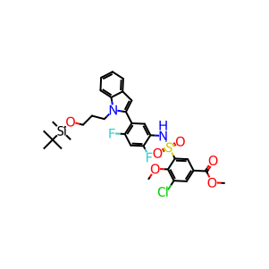 COC(=O)c1cc(Cl)c(OC)c(S(=O)(=O)Nc2cc(-c3cc4ccccc4n3CCCO[Si](C)(C)C(C)(C)C)c(F)cc2F)c1